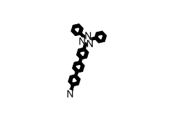 N#Cc1ccc(-c2ccc(-c3ccc(-c4nc(-c5ccccc5)nc(-c5ccccc5)n4)cc3)cc2)cc1